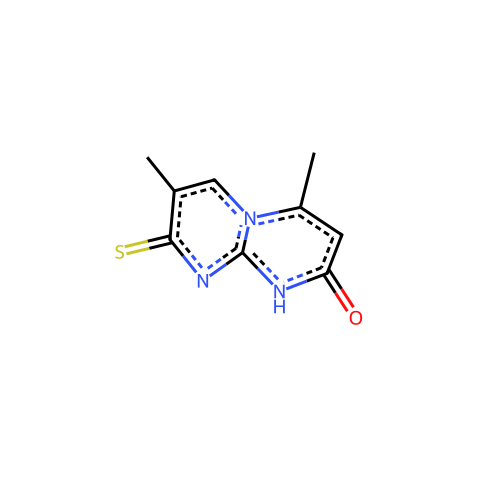 Cc1cn2c(C)cc(=O)[nH]c2nc1=S